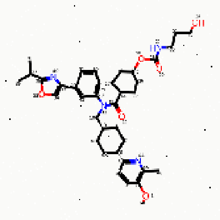 COc1ccc([C@H]2CC[C@H](CN(C(=O)C3CCC(OC(=O)NCCCO)CC3)c3cccc(-c4coc(C(C)C)n4)c3)CC2)nc1C